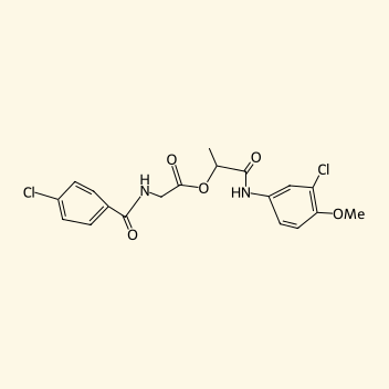 COc1ccc(NC(=O)C(C)OC(=O)CNC(=O)c2ccc(Cl)cc2)cc1Cl